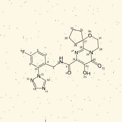 O=C(NCc1ccc(F)cc1-n1cncn1)c1nc2n(c(=O)c1O)CCOC21CCCC1